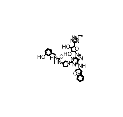 CCn1nnc(C2OC(n3cnc4c(NC(CO)Cc5ccccc5)nc(N5CCC(NC(=O)NCc6cccc(O)c6)C5)nc43)C(O)C2O)n1